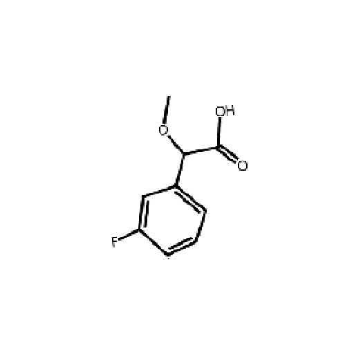 COC(C(=O)O)c1cc[c]c(F)c1